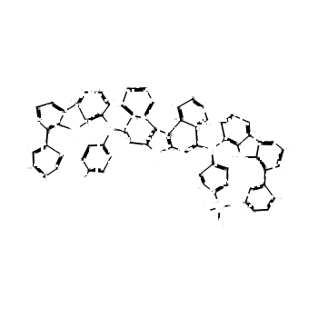 Cc1ccc(N(c2cc3oc4cc(N(c5ccc([Si](C)(C)C)cc5)c5cccc6c5oc5c(-c7ccccc7)cccc56)c5ccccc5c4c3c3ccccc23)c2cccc3c2oc2c(-c4ccccc4)cccc23)cc1